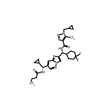 O=C(CCC(F)(F)F)N[C@@H](c1cnn2cc([C@@H](NC(=O)c3nnn(CC4CC4)c3C(F)(F)F)C3CCC(F)(F)CC3)nc2c1)C1CC1